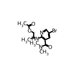 CC(=O)OC[C@H](C)Nc1ncc(Br)cc1C(=O)N(C)C